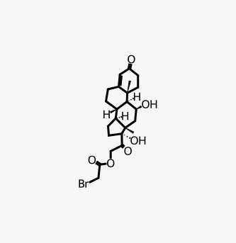 C[C@]12CCC(=O)C=C1CC[C@@H]1[C@@H]2[C@@H](O)C[C@@]2(C)[C@H]1CC[C@]2(O)C(=O)COC(=O)CBr